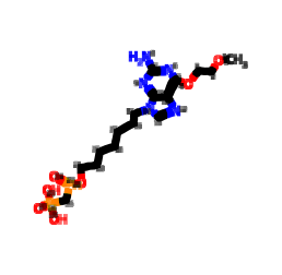 COCCOc1nc(N)nc2c1ncn2CCCCCCCO[PH](=O)CP(=O)(O)O